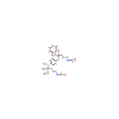 CCO[Si](C)(CCCN=C=O)OCC.C[Si](CCCN=C=O)(Oc1ccccc1)Oc1ccccc1